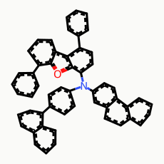 c1ccc(-c2cccc3c2oc2c(N(c4ccc(-c5cccc6ccccc56)cc4)c4ccc5c(ccc6ccccc65)c4)ccc(-c4ccccc4)c23)cc1